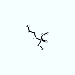 O=P(OCl)(OCl)OCCCl